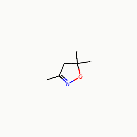 [CH2]C1([CH2])CC(C)=NO1